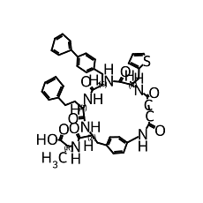 C[C@@H](NC(=O)[C@@H]1Cc2ccc(cc2)NC(=O)CCC(=O)N[C@H](Cc2cccs2)C(=O)N[C@@H](Cc2ccc(-c3ccccc3)cc2)C(=O)N[C@H](CCc2ccccc2)C(=O)N1)C(=O)O